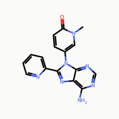 Cn1cc(-n2c(-c3ccccn3)nc3c(N)ncnc32)ccc1=O